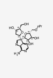 CCCOC[C@H]1O[C@@H]([N+]2([C@@H]3C[C@H](O)[C@@H](CO)O3)C=Nc3c(N)ncnc32)[C@H](O)[C@@H]1O